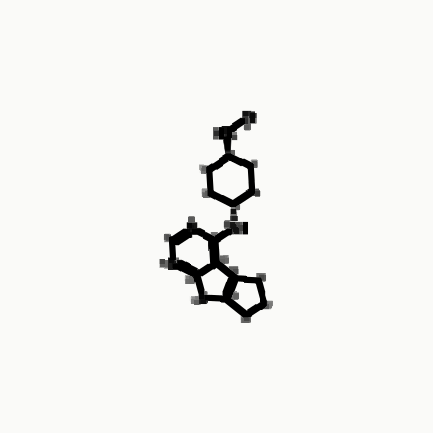 CCN[C@H]1CC[C@H](Nc2ncnc3sc4c(c23)CCC4)CC1